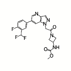 COC(=O)NC1CN(C(=O)Cn2ncc3ncc(-c4ccc(F)c(C(F)F)c4)cc32)C1